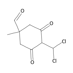 CC1(C=O)CC(=O)C(C(Cl)Cl)C(=O)C1